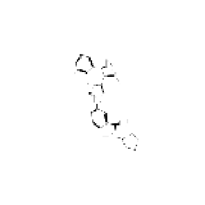 Cc1onc(-c2cccc(F)c2)c1-c1cn(-c2cccc(C(=O)NC3CCCC3)c2)cn1